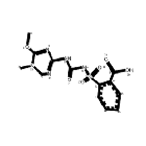 COC1=NC(NC(=O)NS(=O)(=O)c2ccccc2C(=O)O)=NCN1C